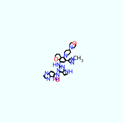 Cn1cc(-c2cc(Nc3nc(Nc4ccc5nccnc5c4P=O)c4cc[nH]c4n3)c3c(c2N2CCC(N4CCOCC4)CC2)CCCO3)cn1